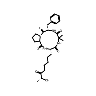 C[C@@H](O)C(=O)CCCCC[C@@H]1NC(=O)C2CCCN2C(=O)[C@H](Cc2ccccc2)NC(=O)C(C)(C)NC1=O